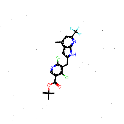 Cc1cc(C(F)(F)F)nc2[nH]c(Cc3c(Cl)ncc(C(=O)OC(C)(C)C)c3Cl)cc12